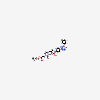 CCOC(=O)CCN1CCN(CC2CN(c3ccc(C(=N)NC(=O)c4ccccc4)cc3)C(=O)O2)CC1=O